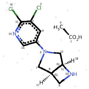 CC(=O)O.Clc1cc(N2C[C@@H]3CN[C@@H]3C2)cnc1Cl